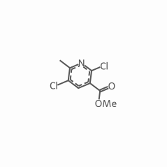 COC(=O)c1cc(Cl)c(C)nc1Cl